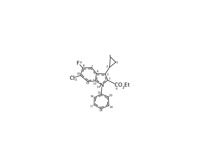 CCOC(=O)c1c(C2CC2)c2cc(F)c(Cl)cc2n1-c1ccccc1